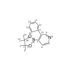 CC1(C)OB(c2ccncc2-c2ccccc2)OC1(C)C